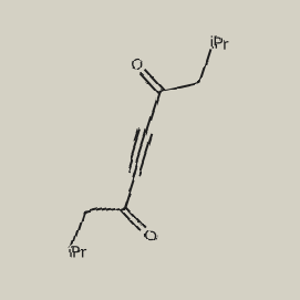 CC(C)CC(=O)C#CC(=O)CC(C)C